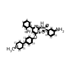 CC(C)c1ccccc1-c1cc(Oc2ccc(C3CCN(C)CC3)cc2)nc(NS(=O)(=O)c2cccc(N)c2)n1